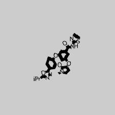 CC(C)c1nnc(-c2ccc(Oc3cc(O[C@H]4CCN(C)C4=O)cc(C(=O)Nc4nccs4)c3)cc2)o1